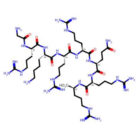 N=C(N)NCCC[C@H](NC(=O)[C@H](CCCNC(=N)N)NC(=O)[C@H](CCC(N)=O)NC(=O)[C@H](CCCNC(=N)N)NC(=O)[C@H](CCCNC(=N)N)NC(=O)[C@H](CCCCN)NC(=O)[C@H](CCCNC(=N)N)NC(=O)CN)C(=O)O